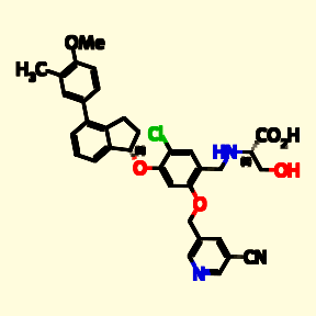 COc1ccc(-c2cccc3c2CC[C@@H]3Oc2cc(OCc3cncc(C#N)c3)c(CN[C@@H](CO)C(=O)O)cc2Cl)cc1C